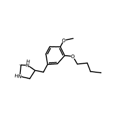 CCCCOc1cc(CC2CN[CH]N2)ccc1OC